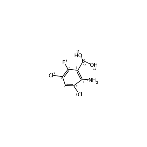 Nc1c(Cl)cc(Cl)c(F)c1B(O)O